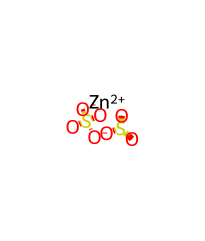 O=S(=O)([O-])[O-].O=S(=O)=O.[Zn+2]